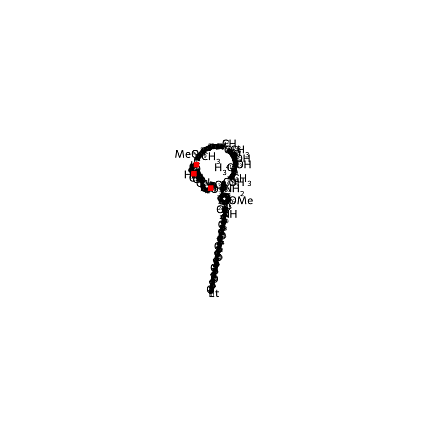 CCOCCOCCOCCOCCOCCOCCOCCNC(=O)O[C@@H]1CC[C@@H](C[C@@H](N)[C@@H]2C[C@@H](O)[C@H](C)/C=C(\C)[C@@H](O)[C@@H](O)C(=O)[C@H](C)C[C@H](C)/C=C/C=C/C=C(\C)[C@@H](OC)C[C@@H]3CC[C@@H](C)[C@@](O)(O3)C(=O)C(=O)N3CCCC[C@H]3C(=O)O2)C[C@H]1OC